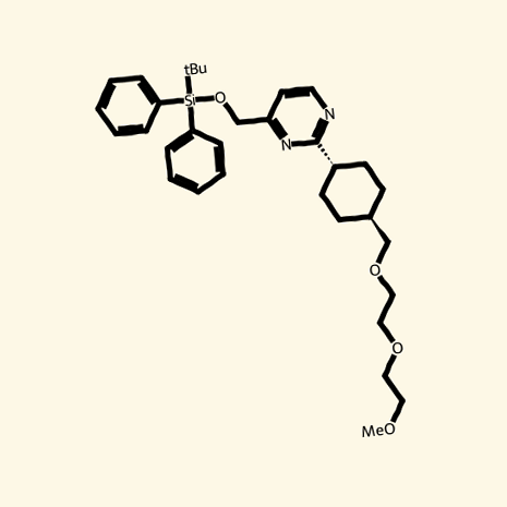 COCCOCCOC[C@H]1CC[C@H](c2nccc(CO[Si](c3ccccc3)(c3ccccc3)C(C)(C)C)n2)CC1